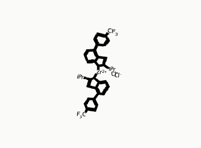 CC(C)C1=Cc2c(-c3ccc(C(F)(F)F)cc3)cccc2[CH]1[Zr+2][CH]1C(C(C)C)=Cc2c(-c3ccc(C(F)(F)F)cc3)cccc21.[Cl-].[Cl-]